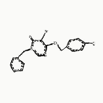 O=c1c(Br)c(OCc2ccc(Cl)cc2)ncn1Cc1ccccc1